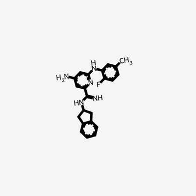 Cc1ccc(F)c(Nc2cc(N)cc(C(=N)NC3Cc4ccccc4C3)n2)c1